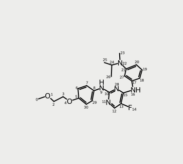 COCCOc1ccc(Nc2ncc(F)c(Nc3cccc(N(C)C(C)C)c3)n2)cc1